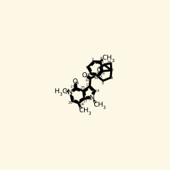 Cc1ccccc1C12CCN(C(=O)c3cn(C)c4c(C)cn(C)c(=O)c34)CC1C2